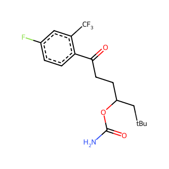 CC(C)(C)CC(CCC(=O)c1ccc(F)cc1C(F)(F)F)OC(N)=O